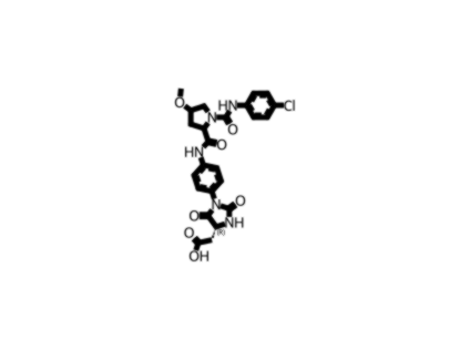 COC1CC(C(=O)Nc2ccc(N3C(=O)N[C@H](CC(=O)O)C3=O)cc2)N(C(=O)Nc2ccc(Cl)cc2)C1